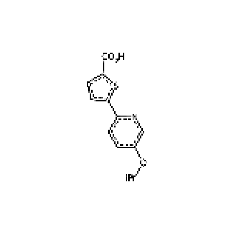 CC(C)Oc1ccc(-c2ccc(C(=O)O)s2)nc1